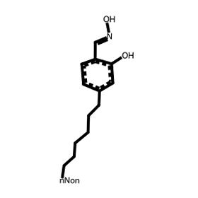 CCCCCCCCCCCCCCCc1ccc(C=NO)c(O)c1